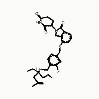 C=C(C)CC(CC)(CCC)NCc1ccc(CSc2cccc3c2CN(C2CCC(=O)NC2=O)C3=O)cc1F